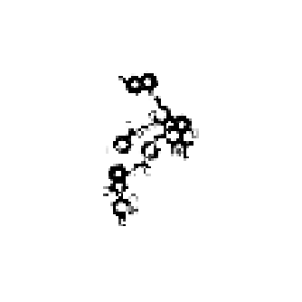 Cc1nn(C)c(C)c1-c1c(Cl)ccc2c(CCCOc3cccc4cc(F)ccc34)c(C(=O)OCOC(=O)C3CCNCC3)n(CCN3CCN(C(=O)COc4cccc5c4CN(C4CCC(=O)NC4=O)C5=O)CC3)c12